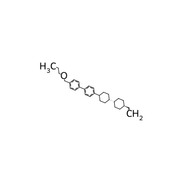 C=C[C@H]1CC[C@H](C2CCC(c3ccc(-c4ccc(COCCC)cc4)cc3)CC2)CC1